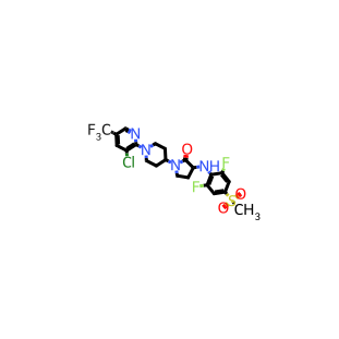 CS(=O)(=O)c1cc(F)c(NC2CCN(C3CCN(c4ncc(C(F)(F)F)cc4Cl)CC3)C2=O)c(F)c1